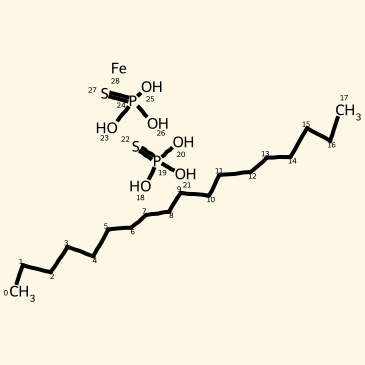 CCCCCCCCCCCCCCCCCC.OP(O)(O)=S.OP(O)(O)=S.[Fe]